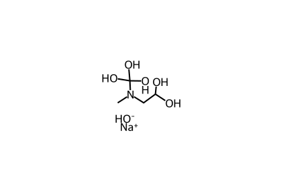 CN(CC(O)O)C(O)(O)O.[Na+].[OH-]